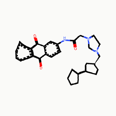 O=C(CN1CCN(C[C@H]2CCC(C3CCCC3)C2)C1)Nc1ccc2c(c1)C(=O)c1ccccc1C2=O